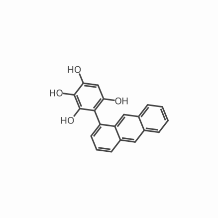 Oc1cc(O)c(-c2cccc3cc4ccccc4cc23)c(O)c1O